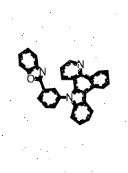 c1cc(-c2nc3ccccc3o2)cc(-n2c3ccccc3c3c4ccccc4c4ncccc4c32)c1